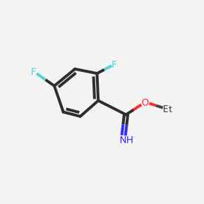 CCOC(=N)c1ccc(F)cc1F